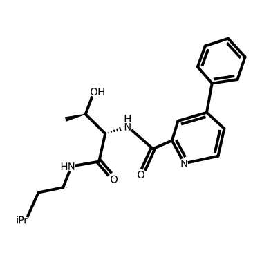 CC(C)C[CH]NC(=O)[C@@H](NC(=O)c1cc(-c2ccccc2)ccn1)[C@@H](C)O